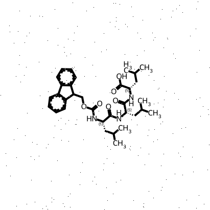 CC(C)C[C@H](NC(=O)[C@H](CC(C)C)NC(=O)[C@H](CC(C)C)NC(=O)OCC1c2ccccc2-c2ccccc21)C(=O)O